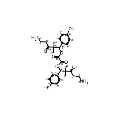 CC(C)(C(=O)CCN)C(OC(=O)C(=O)OC(c1ccc(F)cc1)C(C)(C)C(=O)CCN)c1ccc(F)cc1